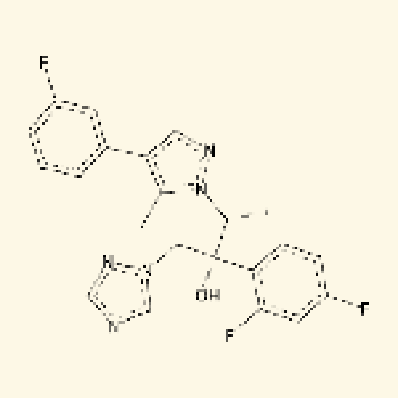 Cc1c(-c2cccc(F)c2)cnn1[C@H](C)[C@](O)(Cn1cncn1)c1ccc(F)cc1F